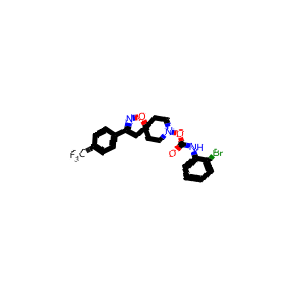 O=C(Nc1ccccc1Br)ON1CCC2(CC1)CC(c1ccc(C(F)(F)F)cc1)=NO2